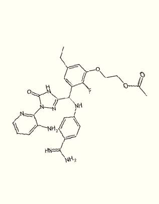 CCc1cc(OCCOC(C)=O)c(F)c(C(Nc2ccc(C(=N)N)cc2)c2nn(-c3ncccc3N)c(=O)[nH]2)c1